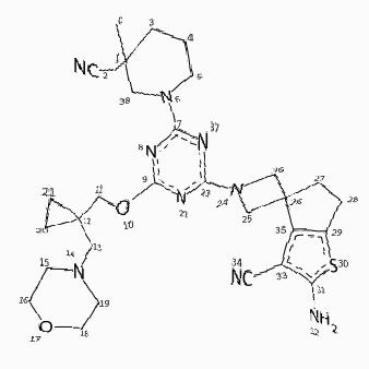 CC1(C#N)CCCN(c2nc(OCC3(CN4CCOCC4)CC3)nc(N3CC4(CCc5sc(N)c(C#N)c54)C3)n2)C1